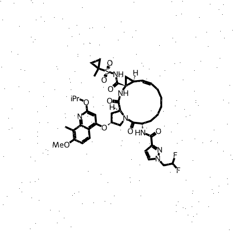 COc1ccc2c(O[C@@H]3C[C@H]4C(=O)N[C@]5(C(=O)NS(=O)(=O)C6(C)CC6)C[C@H]5/C=C\CCCCC[C@H](NC(=O)c5ccn(CC(F)F)n5)C(=O)N4C3)cc(OC(C)C)nc2c1C